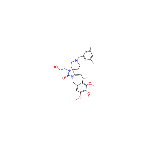 COc1cc2c(c(OC)c1OC)C(C)C=C1N(C2)C(=O)N(CCO)C12CCN(Cc1cc(C)cc(C)c1)CC2